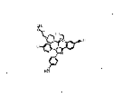 C#Cc1ccc(C2=N[C@@H](c3ccc(Cl)cc3)[C@@H](c3ccc(Cl)cc3)N2C(=O)N2CCN(CCOC)CC2)c(OCC)c1.Cl